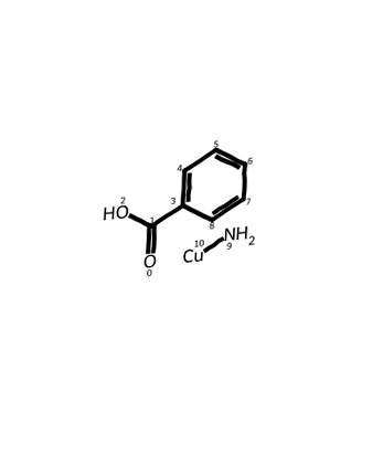 O=C(O)c1ccccc1.[NH2][Cu]